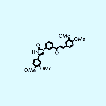 COc1ccc(C=CC(=O)c2cccc(-n3cc(-c4ccc(OC)c(OC)c4)[nH]c3=O)c2)cc1OC